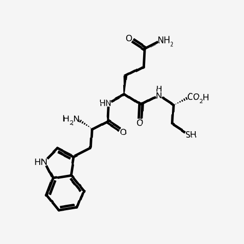 NC(=O)CC[C@H](NC(=O)[C@@H](N)Cc1c[nH]c2ccccc12)C(=O)N[C@@H](CS)C(=O)O